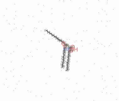 CCCCCCCCCCCCCCCCOC[C@H](CSC[C@@H](NC(=O)CCCCCCCCCCCCCCC)C(=O)O)OCCCCCCCCCCCCCCCC